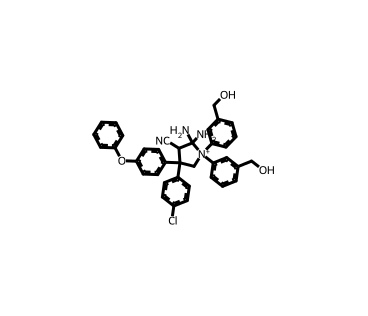 N#CC1C(c2ccc(Cl)cc2)(c2ccc(Oc3ccccc3)cc2)C[N+](c2cccc(CO)c2)(c2cccc(CO)c2)C1(N)N